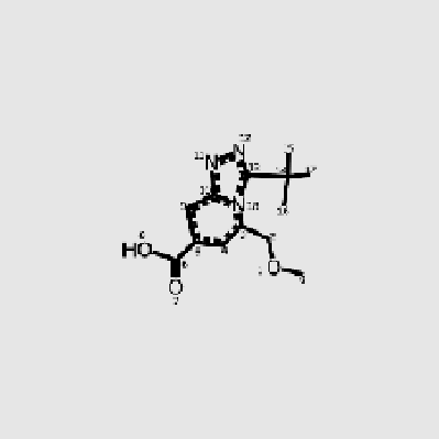 COCc1cc(C(=O)O)cc2nnc(C(C)(C)C)n12